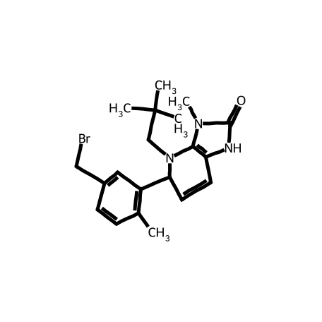 Cc1ccc(CBr)cc1C1C=Cc2[nH]c(=O)n(C)c2N1CC(C)(C)C